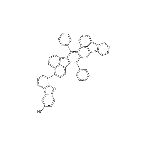 N#Cc1ccc2oc3c(-c4ccc5c6c(-c7ccccc7)c7cc8c9ccccc9c9cccc(c7c(-c7ccccc7)c6c6cccc4c56)c98)cccc3c2c1